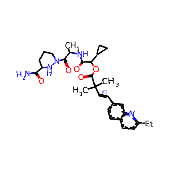 CCc1ccc2ccc(/C=C/C(C)(C)C(=O)OC(C(=O)NC(C)C(=O)N3CCCC(C(N)=O)N3)C3CC3)cc2n1